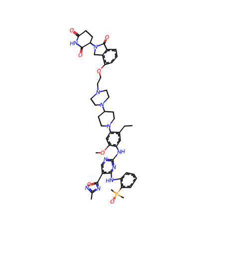 CCc1cc(Nc2ncc(-c3nc(C)no3)c(Nc3ccccc3P(C)(C)=O)n2)c(OC)cc1N1CCC(N2CCN(CCOc3cccc4c3CN(C3CCC(=O)NC3=O)C4=O)CC2)CC1